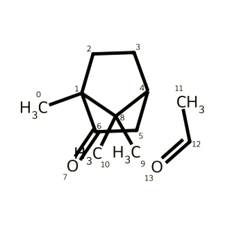 CC12CCC(CC1=O)C2(C)C.CC=O